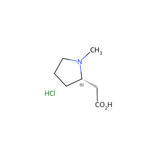 CN1CCC[C@H]1CC(=O)O.Cl